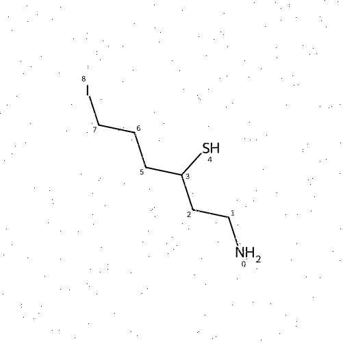 NCCC(S)CCCI